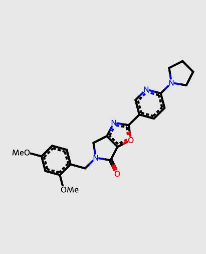 COc1ccc(CN2Cc3nc(-c4ccc(N5CCCC5)nc4)oc3C2=O)c(OC)c1